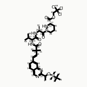 CC(O[Si](C)(C)C(C)(C)C)c1ncc2ccc(C=CC(C)(C)C(=O)N[C@H](C(=O)N[C@@H](C)C(=O)N3CCC[C@@H](C(=O)OCC(Cl)(Cl)Cl)N3)C(C)C)cc2n1